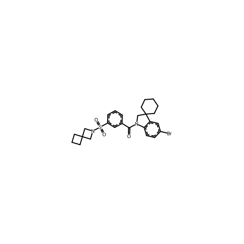 O=C(c1cccc(S(=O)(=O)N2CC3(CCC3)C2)c1)N1CC2(CCCCC2)c2cc(Br)ccc21